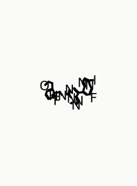 Fc1cc(-c2cnc(NCc3c(F)ccc4c3CCO4)n3cnnc23)c2ncc(I)n2c1